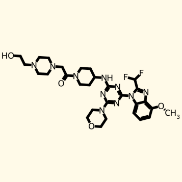 COc1cccc2c1nc(C(F)F)n2-c1nc(NC2CCN(C(=O)CN3CCN(CCO)CC3)CC2)nc(N2CCOCC2)n1